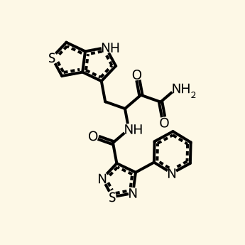 NC(=O)C(=O)C(Cc1c[nH]c2cscc12)NC(=O)c1nsnc1-c1ccccn1